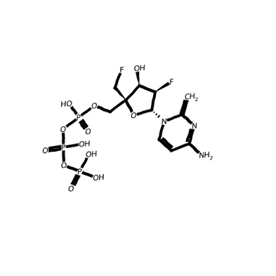 C=C1N=C(N)C=CN1[C@@H]1O[C@](CF)(COP(=O)(O)OP(=O)(O)OP(=O)(O)O)[C@@H](O)[C@H]1F